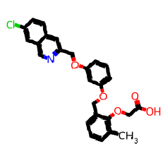 Cc1cccc(COc2cccc(OCc3cc4ccc(Cl)cc4cn3)c2)c1OCC(=O)O